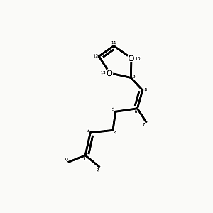 CC(C)=CCCC(C)=CC1OC=CO1